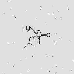 CC(C)C[C@@H]1NC(=O)C[C@@H]1N